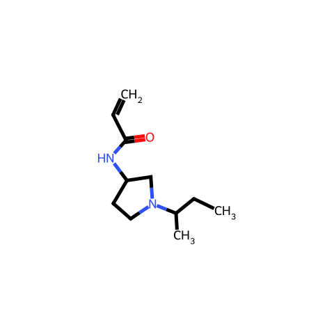 C=CC(=O)NC1CCN(C(C)CC)C1